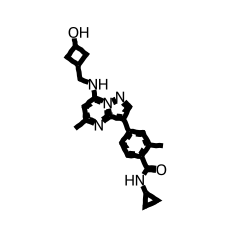 Cc1cc(NCC2CC(O)C2)n2ncc(-c3ccc(C(=O)NC4CC4)c(C)c3)c2n1